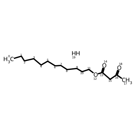 CCCCCCCCCCCCOC(=O)CC(C)=O.[HH]